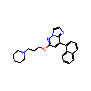 c1ccc2c(-c3cc(OCCCN4CCCCC4)nn4ccnc34)cccc2c1